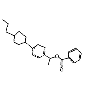 CCCC1CCC([C]2C=CC(C(C)OC(=O)c3ccccc3)=CC2)CC1